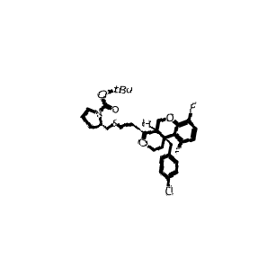 CC(C)(C)OC(=O)N1CCC[C@@H]1CSCC[C@@H]1OCC[C@@]2(Cc3ccc(Cl)cc3)c3c(F)ccc(F)c3OC[C@@H]12